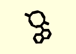 C=c1ccccc(=C)c(-c2cccc3ccccc23)ncc1